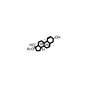 CC(=O)O[C@]1(O)CC[C@H]2[C@@H]3CC=C4C[C@@H](O)C=C[C@]4(C)[C@H]3CC[C@@]21C